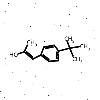 C/C(O)=C\c1ccc(C(C)(C)C)cc1